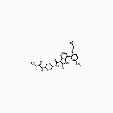 CCC(=O)NC1CCC(NC(=O)c2c(C)[nH]c3c(-c4cc(C)ccc4OCC4CC4)ccnc23)CC1